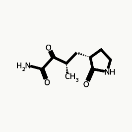 C[C@@H](C[C@@H]1CCNC1=O)C(=O)C(N)=O